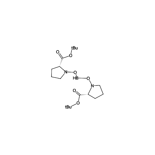 CC(C)(C)OC(=O)[C@H]1CCCN1OBON1CCC[C@@H]1C(=O)OC(C)(C)C